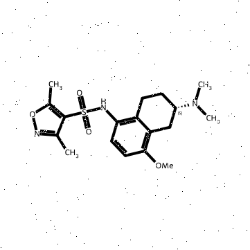 COc1ccc(NS(=O)(=O)c2c(C)noc2C)c2c1C[C@@H](N(C)C)CC2